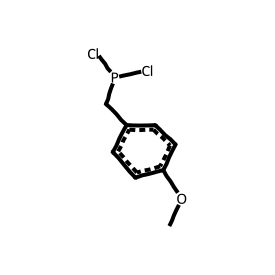 COc1ccc(CP(Cl)Cl)cc1